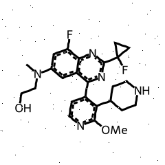 COc1nccc(-c2nc(C3(F)CC3)nc3c(F)cc(N(C)CCO)cc23)c1C1CCNCC1